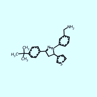 CC(C)(C)c1ccc(C2=NN(c3cccc(CN)c3)C(c3ccsc3)C2)cc1